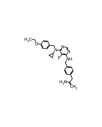 C=C(N)Cc1ccc(CNc2ncnc(N(Cc3ccc(OCC)cc3)C3CC3)c2F)cc1